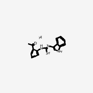 CC(=O)c1ccccc1NC(S)=Nc1c[nH]c2ccccc12.I